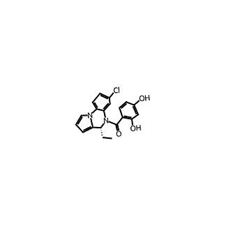 CC[C@@H]1c2cccn2-c2ccc(Cl)cc2N1C(=O)c1ccc(O)cc1O